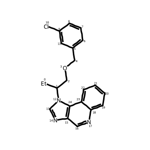 CCC(COCc1cccc(Cl)c1)n1cnc2cnc3ccccc3c21